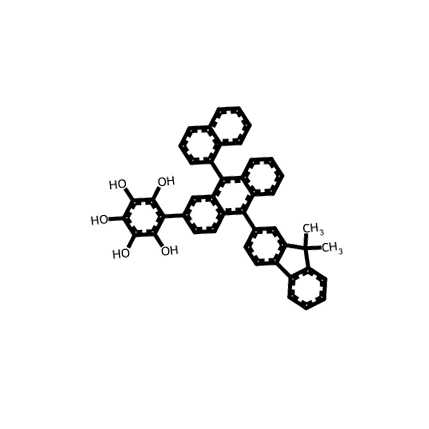 CC1(C)c2ccccc2-c2ccc(-c3c4ccccc4c(-c4cccc5ccccc45)c4cc(-c5c(O)c(O)c(O)c(O)c5O)ccc34)cc21